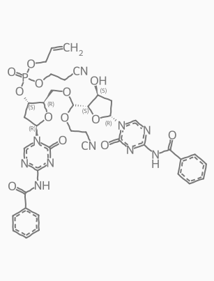 C=CCOP(=O)(OCCC#N)O[C@H]1C[C@H](n2cnc(NC(=O)c3ccccc3)nc2=O)O[C@@H]1COC(OCCC#N)[C@H]1O[C@@H](n2cnc(NC(=O)c3ccccc3)nc2=O)C[C@@H]1O